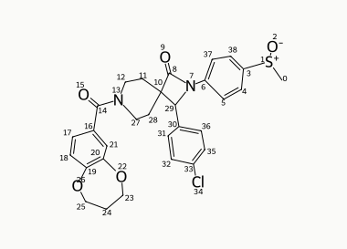 C[S+]([O-])c1ccc(N2C(=O)C3(CCN(C(=O)c4ccc5c(c4)OCCCO5)CC3)C2c2ccc(Cl)cc2)cc1